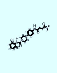 CN(C)C(=O)CCC(=O)Nc1ccc(N2CCN(C(=O)Nc3c(Cl)cccc3Cl)CC2)cc1